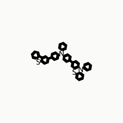 c1ccc(N(c2ccc(-c3ccc4c(c3)Sc3ccccc3N4c3ccccc3)cc2)c2ccc(-c3ccc4sc5ccccc5c4c3)cc2)cc1